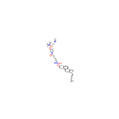 [C-]#[N+]CCOP(OC1CN(C(=O)CCCCCNC(=O)O[C@H]2CC[C@@]3(C)C(=CCC4C3CC[C@@]3(C)C4CC[C@@H]3[C@H](C)CCCC(C)C)C2)CC1C)N(C(C)C)C(C)C